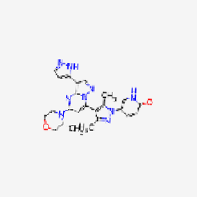 Cc1nn(-c2ccc(=O)[nH]c2)c(C)c1-c1cc(N2CCOC[C@H]2C)nc2c(-c3ccn[nH]3)cnn12